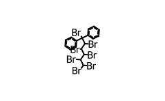 BrC(Br)C(Br)C(Br)C(Br)C(Br)C(Br)(c1ccccc1)c1ccccc1